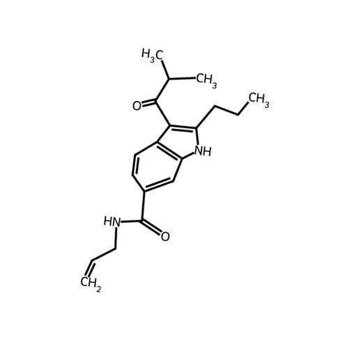 C=CCNC(=O)c1ccc2c(C(=O)C(C)C)c(CCC)[nH]c2c1